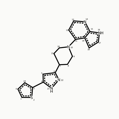 c1csc(-c2cc(C3CCN(c4ccnc5[nH]ccc45)CC3)n[nH]2)c1